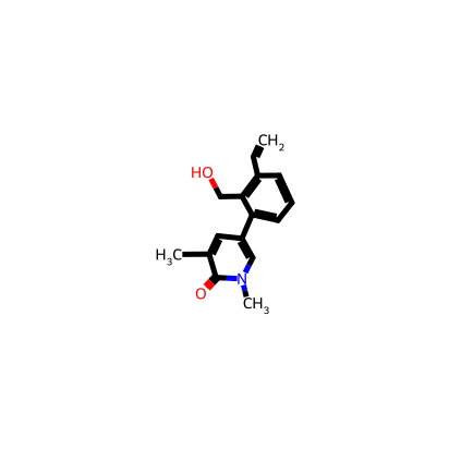 C=Cc1cccc(-c2cc(C)c(=O)n(C)c2)c1CO